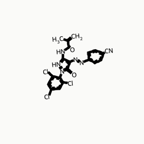 C=C(C)C(=O)Nc1[nH]n(-c2c(Cl)cc(Cl)cc2Cl)c(=O)c1N=Nc1ccc(C#N)cc1